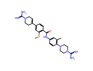 COc1cc(C2=CCN(C(=N)N)CC2)ccc1C(=O)Nc1ccc(N2CCN(C(=N)N)CC2)c(C)c1